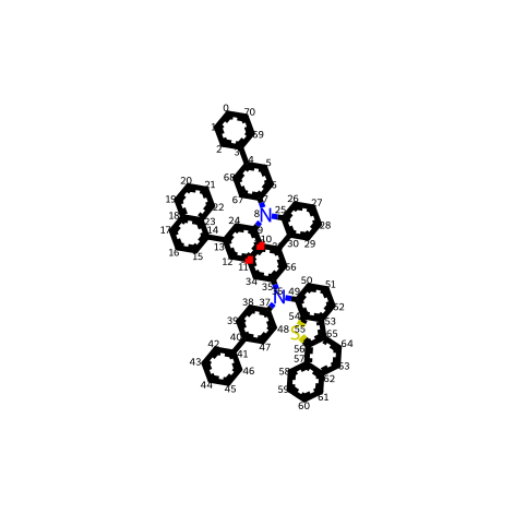 c1ccc(-c2ccc(N(c3cccc(-c4cccc5ccccc45)c3)c3ccccc3-c3cccc(N(c4ccc(-c5ccccc5)cc4)c4cccc5c4sc4c6ccccc6ccc54)c3)cc2)cc1